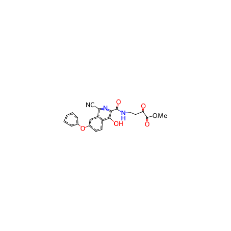 COC(=O)C(=O)CCNC(=O)c1nc(C#N)c2cc(Oc3ccccc3)ccc2c1O